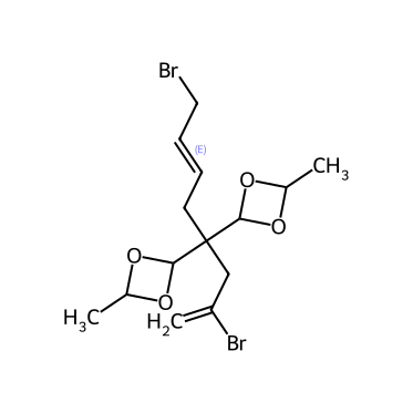 C=C(Br)CC(C/C=C/CBr)(C1OC(C)O1)C1OC(C)O1